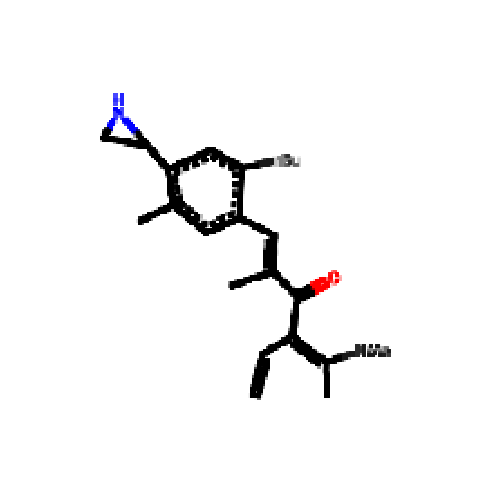 C=C/C(C(=O)/C(C)=C/c1cc(C)c(C2CN2)cc1CCCC)=C(\C)NC